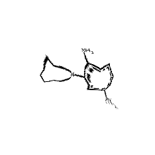 Nc1ccc(P)cc1N1CCCCC1